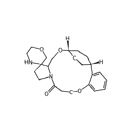 O=C1CCOc2ccccc2[C@H]2CC[C@H](CC2)OCC2N1CCC21COCCN1